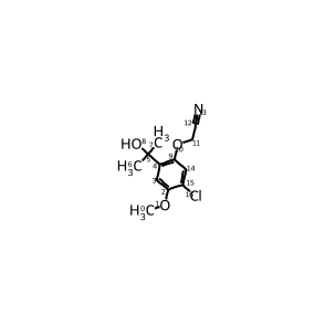 COc1cc(C(C)(C)O)c(OCC#N)cc1Cl